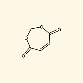 O=C1C=CC(=O)OCO1